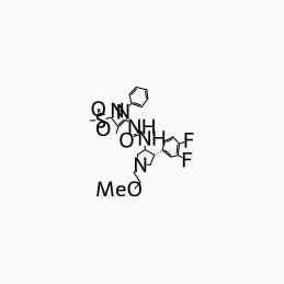 COCCN1C[C@@H](NC(=O)Nc2c(C)c(S(C)(=O)=O)nn2-c2ccccc2)[C@H](c2ccc(F)c(F)c2)C1